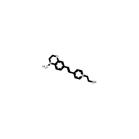 CN1CCOc2cc(/C=C/c3cc[n+](CCS)cc3)ccc21